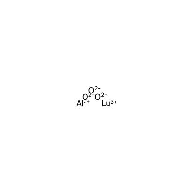 [Al+3].[Lu+3].[O-2].[O-2].[O-2]